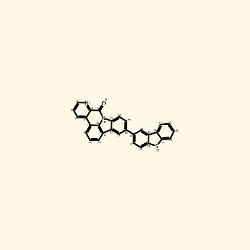 O=c1c2ncccc2c2cccc3c4cc(-c5ccc6sc7ccccc7c6c5)ccc4n1c23